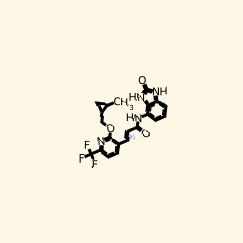 CC1CC1COc1nc(C(F)(F)F)ccc1/C=C/C(=O)Nc1cccc2[nH]c(=O)[nH]c12